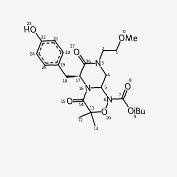 COCCN1CC2N(C(=O)OCC(C)C)OC(C)(C)C(=O)N2[C@@H](Cc2ccc(O)cc2)C1=O